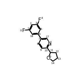 Fc1cc(F)cc(-c2ccc(C3CCCO3)nc2)c1